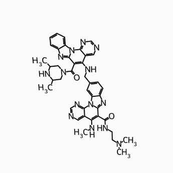 CNc1c(C(=O)NCCN(C)C)c2nc3ccc(CNc4c(C(=O)N5CC(C)NC(C)C5)c5nc6ccccc6n5c5ncncc45)cc3n2c2ncncc12